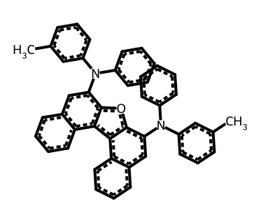 Cc1cccc(N(c2ccccc2)c2cc3ccccc3c3c2oc2c(N(c4ccccc4)c4cccc(C)c4)cc4ccccc4c23)c1